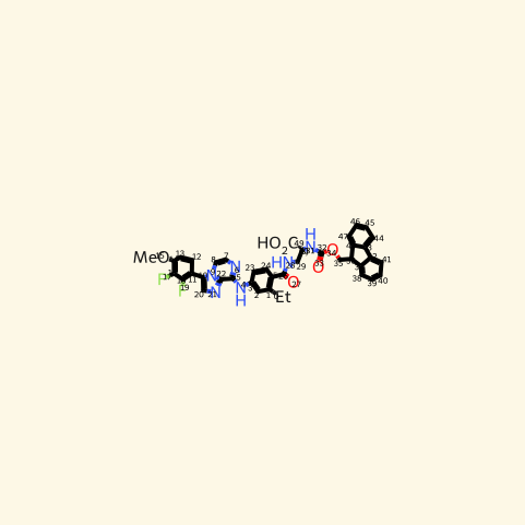 CCc1cc(Nc2nccn3c(-c4ccc(OC)c(F)c4F)cnc23)ccc1C(=O)NC[C@H](NC(=O)OCC1c2ccccc2-c2ccccc21)C(=O)O